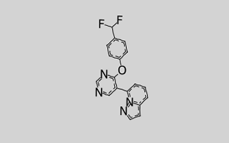 FC(F)c1ccc(Oc2ncncc2-c2cccc3ccnn23)cc1